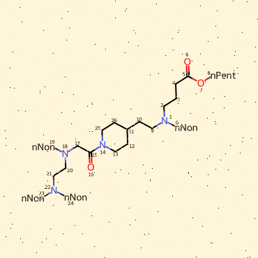 CCCCCCCCCN(CCCC(=O)OCCCCC)CCC1CCN(C(=O)CN(CCCCCCCCC)CCN(CCCCCCCCC)CCCCCCCCC)CC1